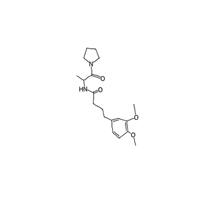 COc1ccc(CCCC(=O)NC(C)C(=O)N2CCCC2)cc1OC